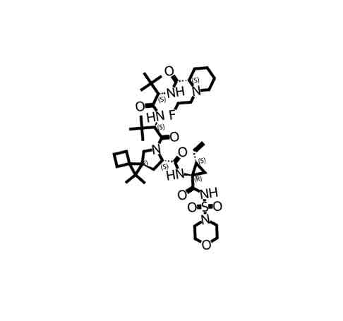 C=C[C@@H]1C[C@]1(NC(=O)[C@@H]1C[C@@]2(CN1C(=O)[C@@H](NC(=O)[C@@H](NC(=O)[C@@H]1CCCCN1CCF)C(C)(C)C)C(C)(C)C)C(C)(C)C21CCC1)C(=O)NS(=O)(=O)N1CCOCC1